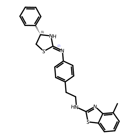 Cc1cccc2sc(NCCc3ccc(/N=C4/N[C@@H](c5ccccc5)CS4)cc3)nc12